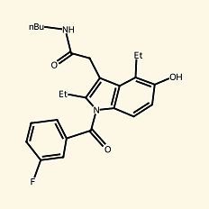 CCCCNC(=O)Cc1c(CC)n(C(=O)c2cccc(F)c2)c2ccc(O)c(CC)c12